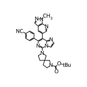 Cn1ncc2cc(-c3c(-c4ccc(C#N)cc4)nc(N4CCC5(CCN(C(=O)OC(C)(C)C)C5)C4)n4ccnc34)cnc21